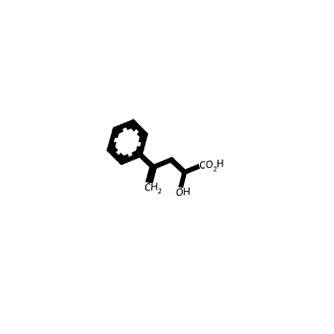 C=C(CC(O)C(=O)O)c1ccccc1